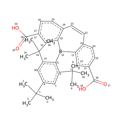 CC(C)(C)c1cc(C(C)(C)C)c(B2c3cc(C(=O)O)ccc3C=Cc3ccc(C(=O)O)cc32)c(C(C)(C)C)c1